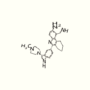 CN1CCN(c2c[nH]c3ccc(-c4nc5ccc(N)c(C=N)c5c5c4CCCC5)cc23)CC1